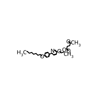 CCCCCCCCOc1ccc(-c2ccc(OCC(C)OC(=O)CCC(C)=O)cn2)cc1